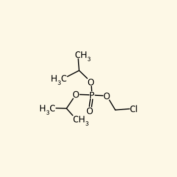 CC(C)OP(=O)(OCCl)OC(C)C